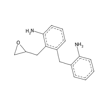 Nc1ccccc1Cc1cccc(N)c1CC1CO1